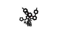 Cc1ccc(-c2cccc3c2C=C(CC2CCCC2)[CH]3[Zr]([CH3])([CH3])(=[SiH2])[CH]2C(CC3CCCC3)=Cc3c(-c4ccc(C)cc4)cccc32)cc1.Cl.Cl